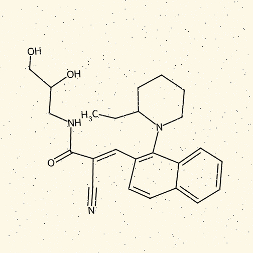 CCC1CCCCN1c1c(/C=C(\C#N)C(=O)NCC(O)CO)ccc2ccccc12